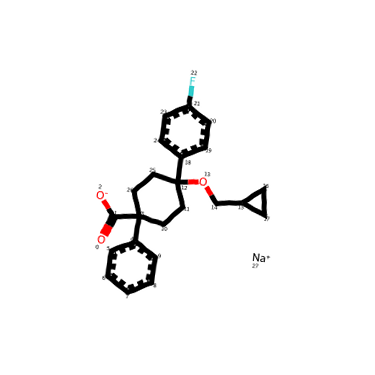 O=C([O-])C1(c2ccccc2)CCC(OCC2CC2)(c2ccc(F)cc2)CC1.[Na+]